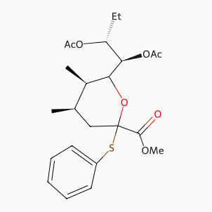 CC[C@@H](OC(C)=O)[C@@H](OC(C)=O)C1OC(Sc2ccccc2)(C(=O)OC)C[C@@H](C)[C@H]1C